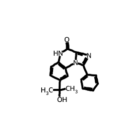 CC(C)(O)c1ccc2[nH]c(=O)c3cnc(-c4ccccc4)n3c2c1